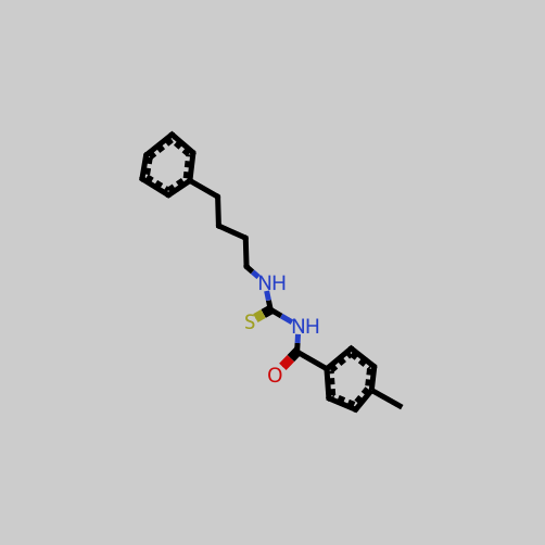 Cc1ccc(C(=O)NC(=S)NCCCCc2ccccc2)cc1